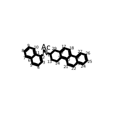 CC(=O)N(c1cccc2ccccc12)C1CCc2c(ccc3c2ccc2ccccc23)C1